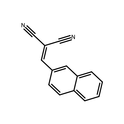 N#CC(C#N)=Cc1ccc2ccccc2c1